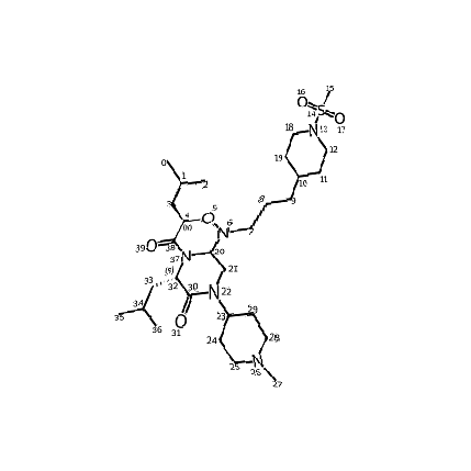 CC(C)C[C@H]1ON(CCCC2CCN(S(C)(=O)=O)CC2)C2CN(C3CCN(C)CC3)C(=O)[C@H](CC(C)C)N2C1=O